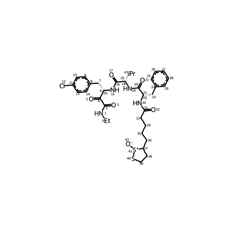 CCNC(=O)C(=O)[C@H](Cc1ccc(Cl)cc1)NC(=O)[C@@H](NC(=O)[C@H](Cc1ccccc1)NC(=O)CCCCC1CCS[S+]1[O-])C(C)C